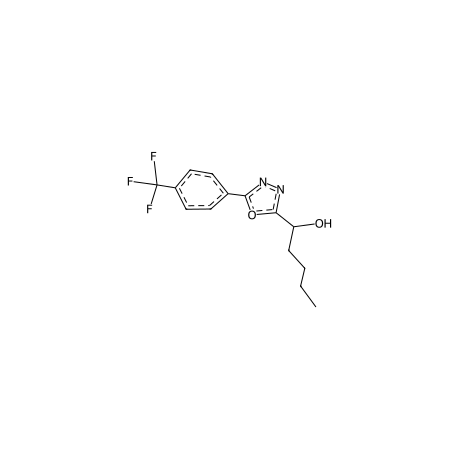 CCCCC(O)c1nnc(-c2ccc(C(F)(F)F)cc2)o1